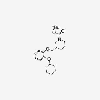 CC(C)(C)OC(=O)N1CCCC(COc2ccccc2OC2CCCCC2)C1